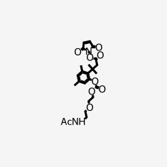 CC(=O)NCCOCCOC(=O)Oc1cc(C)cc(C)c1C(C)(C)CC(=O)ON1C(=O)C=CC1=O